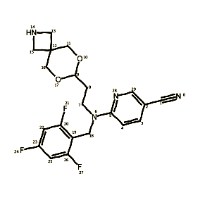 N#Cc1ccc(N(CCC2OCC3(CNC3)CO2)Cc2c(F)cc(F)cc2F)nc1